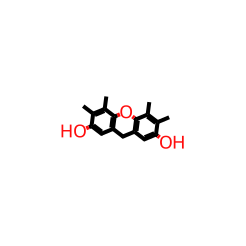 Cc1c(O)cc2c(c1C)Oc1c(cc(O)c(C)c1C)C2